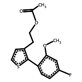 COc1cc(F)ccc1-c1sccc1CCOC(C)=O